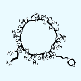 C/C=C/C[C@@H](C)[C@H]1ON2C(=O)[C@H](C(C)C)N(C)C(=O)[C@H](CC(C)C)N(C)C(=O)[C@H](CC(C)C)N(C)C(=O)[C@@H](C)NC(=O)[C@H](C)NC(=O)[C@H](CC(C)C)N(C)C(=O)[C@H](C(C)C)NC(=O)[C@H]([C@@H](C)OCCCCN3CCOCC3)N(C)C(=O)[C@@H](C)N(C)C(=O)[C@H](CC)NC(=O)[C@H]12